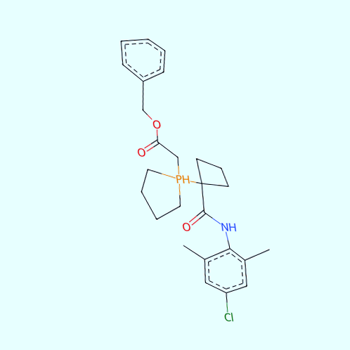 Cc1cc(Cl)cc(C)c1NC(=O)C1([PH]2(CC(=O)OCc3ccccc3)CCCC2)CCC1